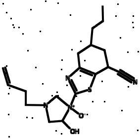 C=CCCN1CC(O)[N+]([O-])(c2nc3c(s2)C(C#N)CC(CCC)C3)C1